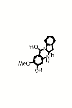 COc1cc2c(cc1O)N[C@@H]1Cc3ccccc3N1C2O